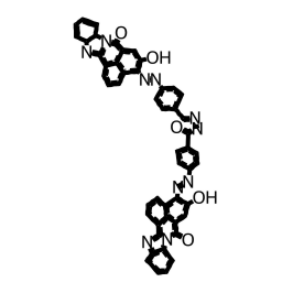 O=c1c2cc(O)c(N=Nc3ccc(-c4nnc(-c5ccc(N=Nc6c(O)cc7c(=O)n8c9ccccc9nc8c8cccc6c78)cc5)o4)cc3)c3cccc(c4n1C1C=CC=CC1N=4)c32